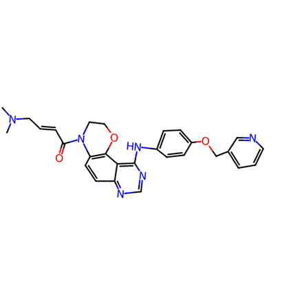 CN(C)C/C=C/C(=O)N1CCOc2c1ccc1ncnc(Nc3ccc(OCc4cccnc4)cc3)c21